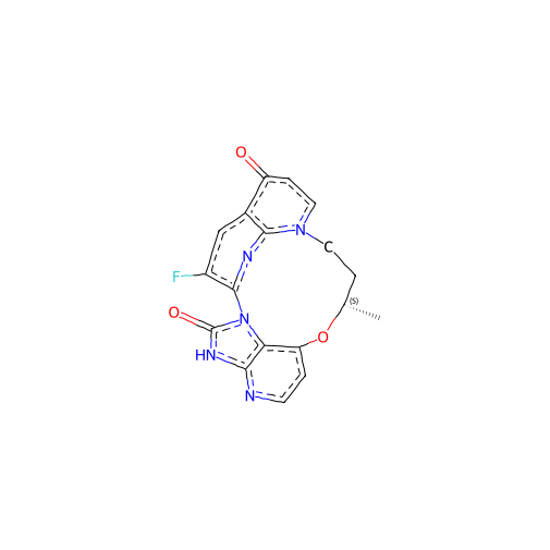 C[C@H]1CCn2ccc(=O)c3cc(F)c(nc32)-n2c(=O)[nH]c3nccc(c32)O1